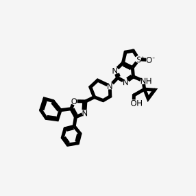 [O-][S+]1CCc2nc(N3CCC(c4nc(-c5ccccc5)c(-c5ccccc5)o4)CC3)nc(NC3(CO)CC3)c21